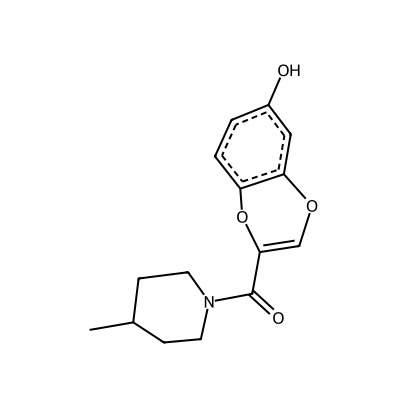 CC1CCN(C(=O)C2=COc3cc(O)ccc3O2)CC1